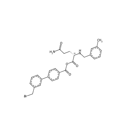 Cc1cccc(CN[C@@H](CCC(N)=O)C(=O)OC(=O)c2ccc(-c3cccc(CBr)c3)cc2)c1